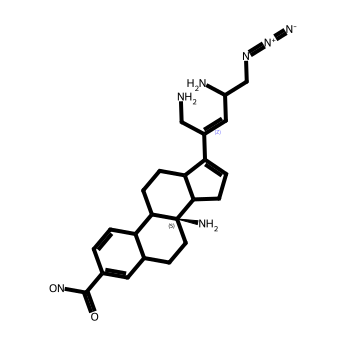 [N-]=[N+]=NCC(N)/C=C(\CN)C1=CCC2C1CCC1C3C=CC(C(=O)N=O)=CC3CC[C@@]21N